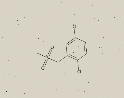 CS(=O)(=O)[CH]c1cc(Cl)ccc1Cl